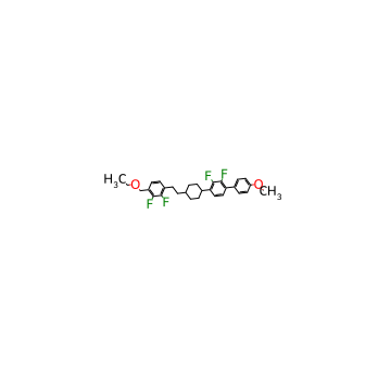 CCOCc1ccc(CCC2CCC(c3ccc(-c4ccc(OC)cc4)c(F)c3F)CC2)c(F)c1F